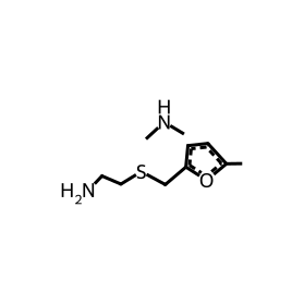 CNC.Cc1ccc(CSCCN)o1